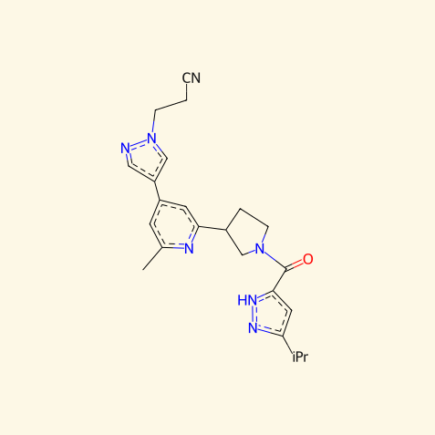 Cc1cc(-c2cnn(CCC#N)c2)cc(C2CCN(C(=O)c3cc(C(C)C)n[nH]3)C2)n1